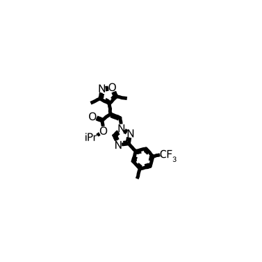 Cc1cc(-c2ncn(C=C(C(=O)OC(C)C)c3c(C)noc3C)n2)cc(C(F)(F)F)c1